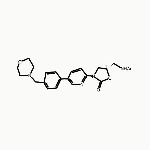 CC(=O)NC[C@H]1CN(c2ccc(-c3ccc(CN4CCOCC4)cc3)cn2)C(=O)O1